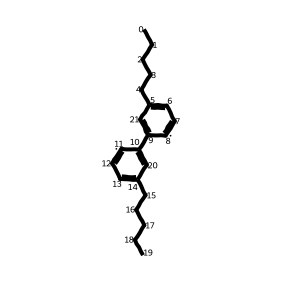 CCCCCc1cc[c]c(-c2[c]ccc(CCCCC)c2)c1